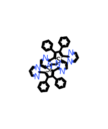 C[Si]1(CC[Si]2(C)C(c3ncccn3)=C(c3ccccc3)C(c3ccccc3)=C2c2ncccn2)C(c2ncccn2)=C(c2ccccc2)C(c2ccccc2)=C1c1ncccn1